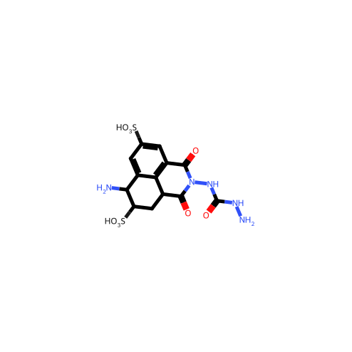 NNC(=O)NN1C(=O)c2cc(S(=O)(=O)O)cc3c2C(CC(S(=O)(=O)O)C3N)C1=O